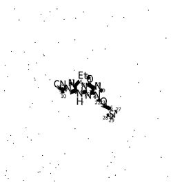 CCOc1nc(Nc2cn(C(C)(C)C#N)nc2C)nc2c1ncn2COCC[Si](C)(C)C